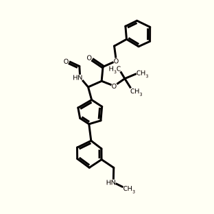 CNCc1cccc(-c2ccc(C(NC=O)C(OC(C)(C)C)C(=O)OCc3ccccc3)cc2)c1